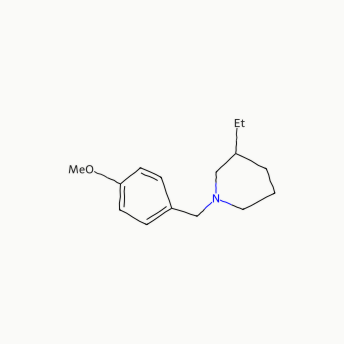 CCC1CCCN(Cc2ccc(OC)cc2)C1